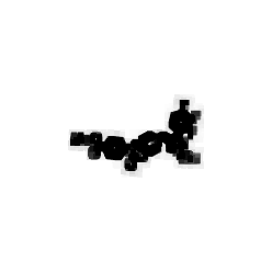 COC(=O)c1ccc(N2CC3(CCN(Cc4cn(C(C)(C)C)nc4-c4ccc(F)c(F)c4F)CC3)OC2=O)cc1